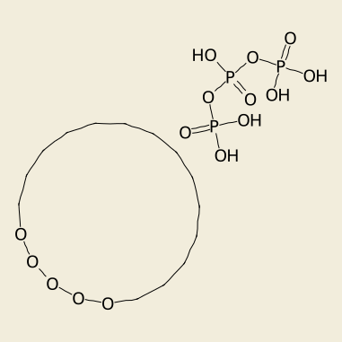 C1CCCCCCCOOOOOCCCCCC1.O=P(O)(O)OP(=O)(O)OP(=O)(O)O